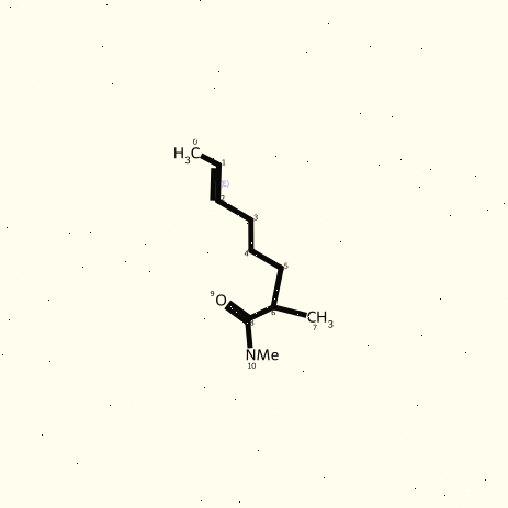 C/C=C/CCCC(C)C(=O)NC